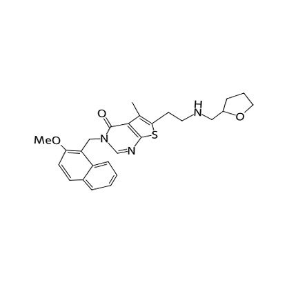 COc1ccc2ccccc2c1Cn1cnc2sc(CCNCC3CCCO3)c(C)c2c1=O